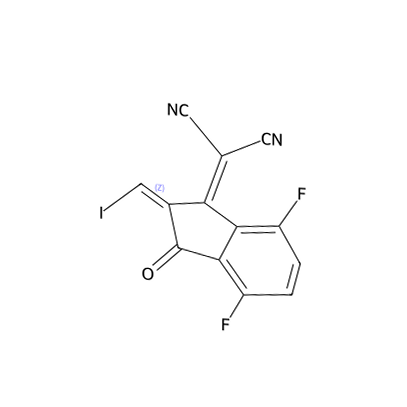 N#CC(C#N)=C1/C(=C/I)C(=O)c2c(F)ccc(F)c21